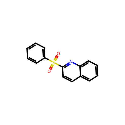 O=S(=O)(c1ccccc1)c1ccc2ccccc2n1